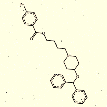 CC(C)c1ccc(C(=O)OCCCCN2CCC(OC(c3ccccc3)c3ccccc3)CC2)cc1